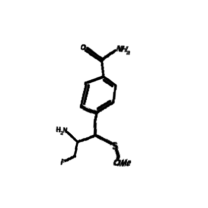 COSC(c1ccc(C(N)=O)cc1)C(N)CF